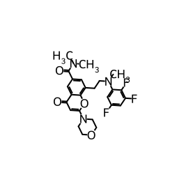 CN(C)C(=O)c1cc(CCN(C)c2cc(F)cc(F)c2F)c2oc(N3CCOCC3)cc(=O)c2c1